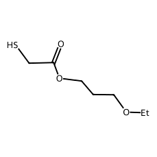 CCOCCCOC(=O)CS